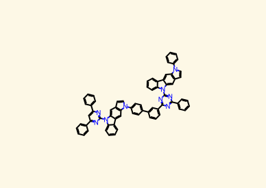 c1ccc(-c2cc(-c3ccccc3)nc(-n3c4ccccc4c4cc5c(ccn5-c5ccc(-c6cccc(-c7nc(-c8ccccc8)nc(-n8c9ccccc9c9cc%10c(ccn%10-c%10ccccc%10)cc98)n7)c6)cc5)cc43)n2)cc1